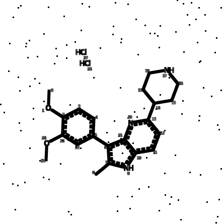 COc1ccc(-c2c(C)[nH]c3ccc(C4CCNCC4)nc23)cc1OC.Cl.Cl